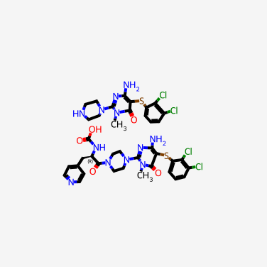 Cn1c(N2CCN(C(=O)[C@@H](Cc3ccncc3)NC(=O)O)CC2)nc(N)c(Sc2cccc(Cl)c2Cl)c1=O.Cn1c(N2CCNCC2)nc(N)c(Sc2cccc(Cl)c2Cl)c1=O